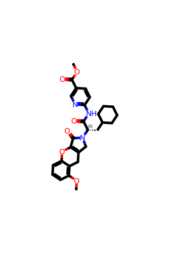 COC(=O)c1ccc(NC(=O)[C@H](CC2CCCCC2)N2CC3=C(Oc4cccc(OC)c4C3)C2=O)nc1